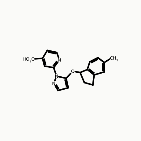 Cc1ccc2c(c1)CCC2Oc1ccnn1-c1cc(C(=O)O)ccn1